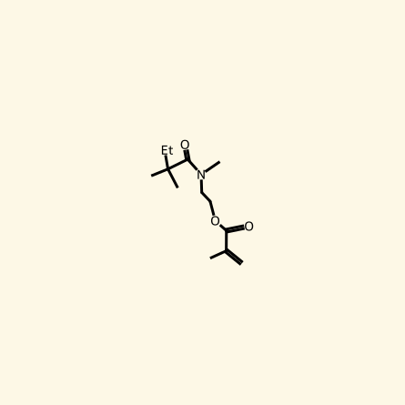 C=C(C)C(=O)OCCN(C)C(=O)C(C)(C)CC